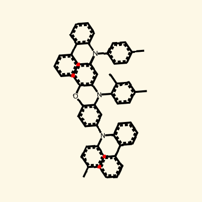 Cc1ccc(N(c2ccc3c(c2)N(c2ccc(C)cc2C)c2cc(N(c4ccc(C)cc4)c4ccccc4-c4ccccc4)ccc2O3)c2ccccc2-c2ccccc2)cc1